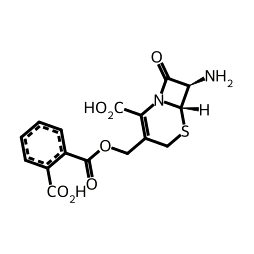 N[C@@H]1C(=O)N2C(C(=O)O)=C(COC(=O)c3ccccc3C(=O)O)CS[C@@H]12